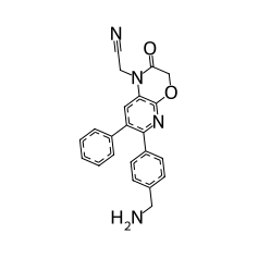 N#CCN1C(=O)COc2nc(-c3ccc(CN)cc3)c(-c3ccccc3)cc21